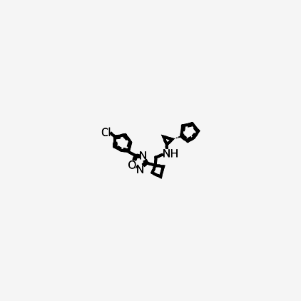 Clc1ccc(-c2nc(C3(CNC4C[C@@H]4c4ccccc4)CCC3)no2)cc1